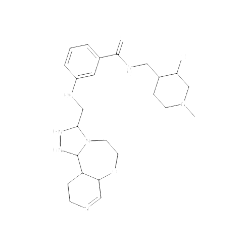 CN1CCC(CNC(=O)c2cccc(NCC3NNC4C5CCN=CC5OCCN34)c2)C(Cl)C1